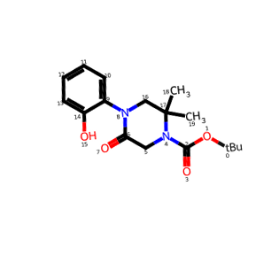 CC(C)(C)OC(=O)N1CC(=O)N(c2ccccc2O)CC1(C)C